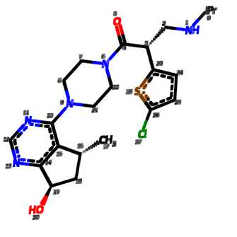 CC(C)NC[C@@H](C(=O)N1CCN(c2ncnc3c2[C@H](C)C[C@H]3O)CC1)c1ccc(Cl)s1